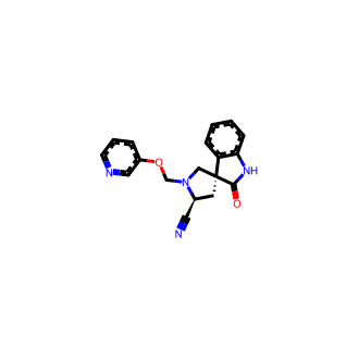 N#C[C@@H]1C[C@@]2(CN1COc1cccnc1)C(=O)Nc1ccccc12